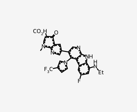 CCNc1cc(F)cc2c1[nH]c1ncc(-c3cnc4c(c3)c(=O)c(C(=O)O)cn4C)c(-n3ccc(C(F)(F)F)c3)c12